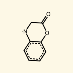 O=C1C[N]c2ccccc2O1